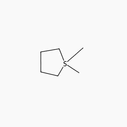 CS1(C)CCCC1